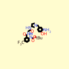 CC(C)(C)OC(=O)Nc1ccc(C(F)(F)F)cc1C(=O)NCC(=O)N[C@@H]1CCN(Cc2ccc(O)c(N)c2)C1